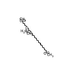 COC(=O)CCCCC/C=C/CCCCCCCCOCC(COCCCCC(=O)OC)N(C)C